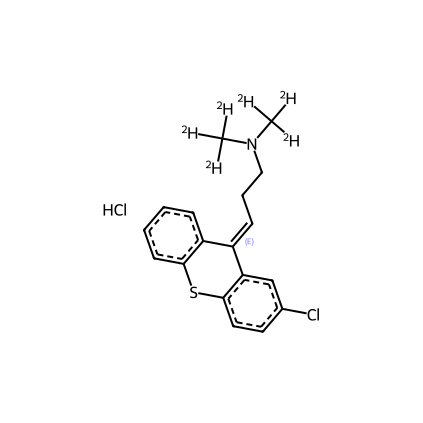 Cl.[2H]C([2H])([2H])N(CC/C=C1\c2ccccc2Sc2ccc(Cl)cc21)C([2H])([2H])[2H]